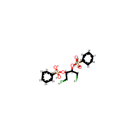 O=S(=O)(OC(CF)C(CF)OS(=O)(=O)c1ccccc1)c1ccccc1